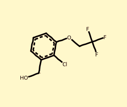 O[CH]c1cccc(OCC(F)(F)F)c1Cl